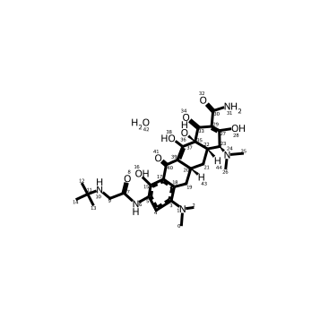 CN(C)c1cc(NC(=O)CNC(C)(C)C)c(O)c2c1C[C@H]1C[C@H]3[C@H](N(C)C)C(O)=C(C(N)=O)C(=O)[C@@]3(O)C(O)=C1C2=O.O